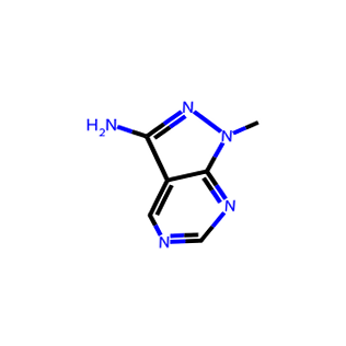 Cn1nc(N)c2cncnc21